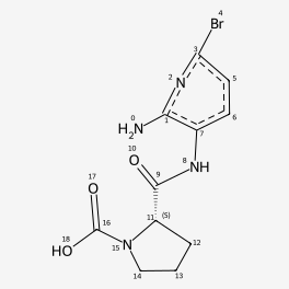 Nc1nc(Br)ccc1NC(=O)[C@@H]1CCCN1C(=O)O